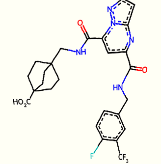 O=C(NCc1ccc(F)c(C(F)(F)F)c1)c1cc(C(=O)NCC23CCC(C(=O)O)(CC2)CC3)n2nccc2n1